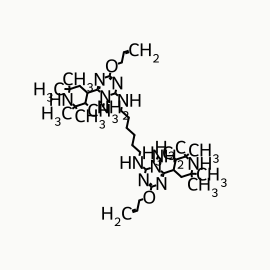 C=CCOC1=NC(NCCCCCCNC2N=C(OCC=C)N=C(C3CC(C)(C)NC(C)(C)C3C)N2N)N(N)C(C2CC(C)(C)NC(C)(C)C2C)=N1